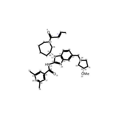 C/C=C/C(=O)N1CCCC[C@@H](n2c(NC(=O)c3cc(C)nc(C)c3)nc3cc(CN4CC[C@H](OC)C4)ccc32)C1